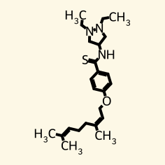 CCN1CC(NC(=S)c2ccc(OCC=C(C)CCC=C(C)C)cc2)CN1CC